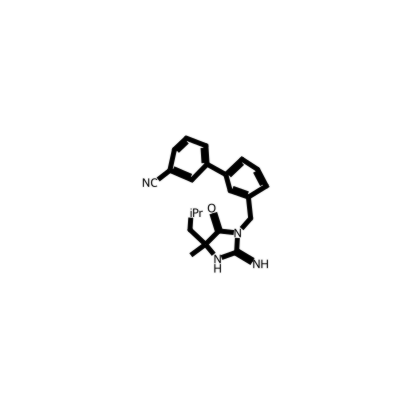 CC(C)CC1(C)NC(=N)N(Cc2cccc(-c3cccc(C#N)c3)c2)C1=O